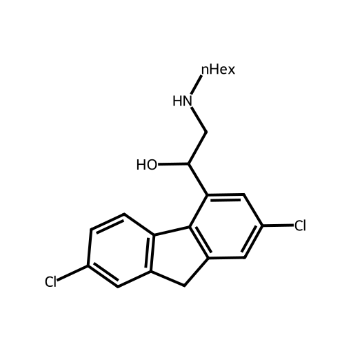 CCCCCCNCC(O)c1cc(Cl)cc2c1-c1ccc(Cl)cc1C2